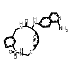 Nc1nccc2cc(NC3C(=O)NCc4cccc(c4)S(=O)(=O)NCCc4ccc3cc4)ccc12